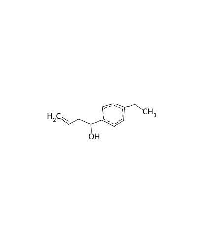 C=CCC(O)c1ccc(CC)cc1